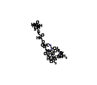 C/C(Br)=C\[C@@H](O)Cc1nc([C@@H](C)C[C@H](CC(=O)OC(C)C/C(C)=C/C=C\C=O)NCC(=O)NCCOCCOCCNC(=O)CCCCC2SC[C@@H]3NC(=O)N[C@H]23)cs1